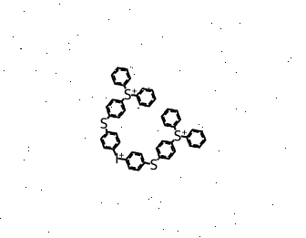 c1ccc([S+](c2ccccc2)c2ccc(Sc3ccc([I+]c4ccc(Sc5ccc([S+](c6ccccc6)c6ccccc6)cc5)cc4)cc3)cc2)cc1